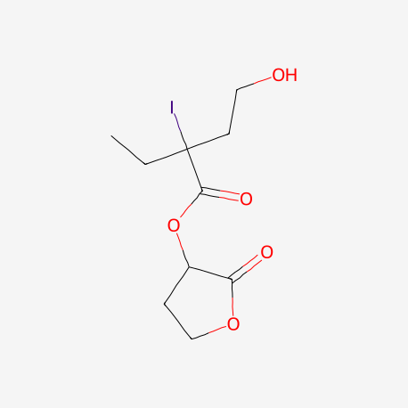 CCC(I)(CCO)C(=O)OC1CCOC1=O